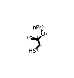 CCCOC(=S)CS